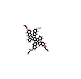 C#CCOc1ccc2cc(C3(c4ccc5cc(OCC)ccc5c4)c4ccccc4-c4cc5c(cc43)-c3ccccc3C5(c3ccc4cc(OCC#C)ccc4c3)c3ccc4cc(OCC#C)ccc4c3)ccc2c1